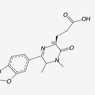 CC1C(c2ccc3c(c2)OCO3)=N[C@@H](CCC(=O)O)C(=O)N1C